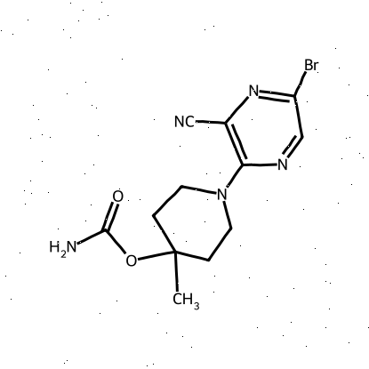 CC1(OC(N)=O)CCN(c2ncc(Br)nc2C#N)CC1